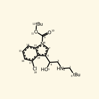 CC(C)(C)CNCC(O)c1cn(C(=O)OC(C)(C)C)c2cccc(Cl)c12